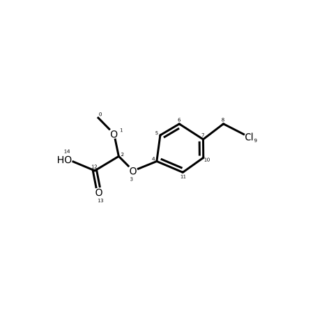 COC(Oc1ccc(CCl)cc1)C(=O)O